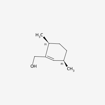 C[C@H]1C=C(CO)[C@@H](C)CC1